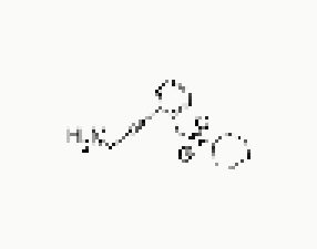 NCC#Cc1ccccc1CS(=O)(=O)C1CCCCC1